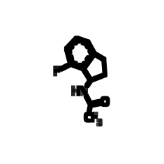 O=C(NC1CCc2cccc(F)c21)C(F)(F)F